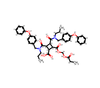 CCCN(Cc1ccc(Oc2ccccc2)cc1)C(=O)C1C(C(=O)O)C(C(=O)OCOC(=O)CC)C1C(=O)N(CCC)Cc1ccc(Oc2ccccc2)cc1